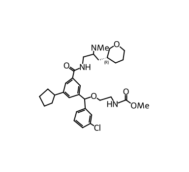 CNC(CNC(=O)c1cc(C2CCCC2)cc(C(OCCNC(=O)OC)c2cccc(Cl)c2)c1)C[C@H]1CCCOC1